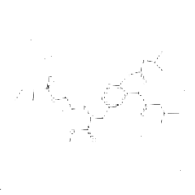 CCC(C)(C)C(=O)OCCN[C@@H](Cc1ccc(OC(=O)CC(C)C)c(OC(=O)CC(C)C)c1)C(=O)OC